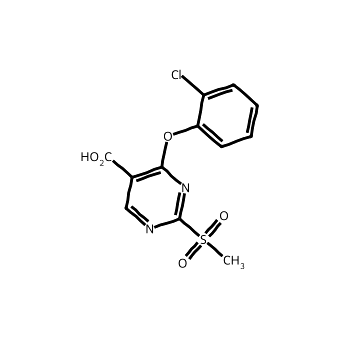 CS(=O)(=O)c1ncc(C(=O)O)c(Oc2ccccc2Cl)n1